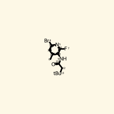 Cc1cc(Br)nc(F)c1NC(=O)CC(C)(C)C